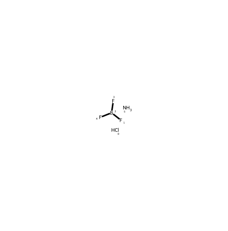 Cl.FB(F)F.N